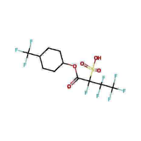 O=C(OC1CCC(C(F)(F)F)CC1)C(F)(C(F)(F)C(F)(F)F)S(=O)(=O)O